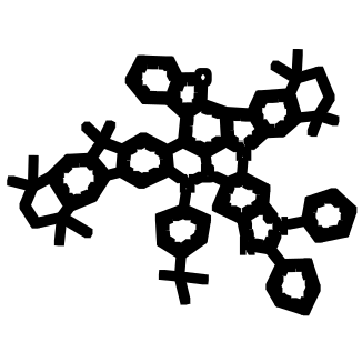 CC(C)(C)c1ccc(N2B3c4cc5nc(-c6ccccc6)n(-c6ccccc6)c5cc4-n4c5cc6c(cc5c5c7oc8ccccc8c7c(c3c54)-c3cc4c(cc32)-c2cc3c(cc2C4(C)C)C(C)(C)CCC3(C)C)C(C)(C)CCC6(C)C)cc1